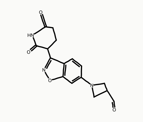 O=CC1CN(c2ccc3c(C4CCC(=O)NC4=O)noc3c2)C1